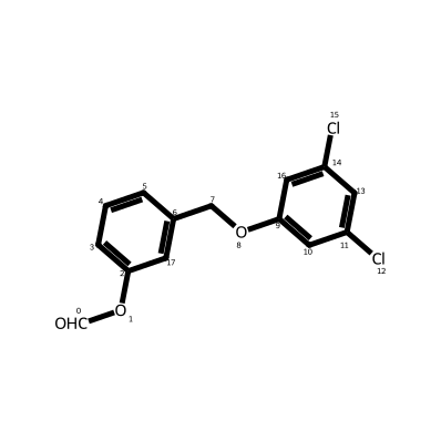 O=COc1cccc(COc2cc(Cl)cc(Cl)c2)c1